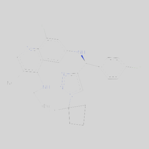 CC(C)(C)CNc1c(C#N)cnc2c(Cl)cc(N[C@@H](c3ccc(F)cc3)c3cn(C4(C(F)(F)F)CCC4)nn3)cc12